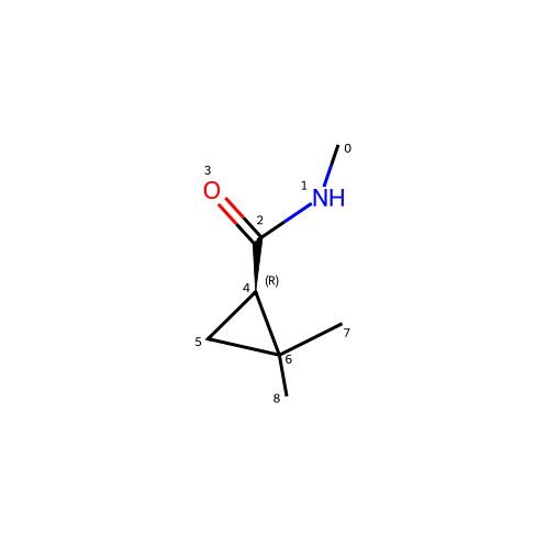 CNC(=O)[C@@H]1CC1(C)C